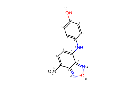 O=[N+]([O-])c1ccc(Nc2ccc(O)cc2)c2nonc12